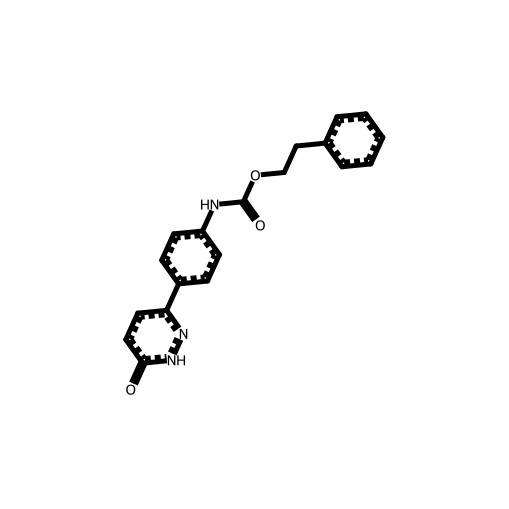 O=C(Nc1ccc(-c2ccc(=O)[nH]n2)cc1)OCCc1ccccc1